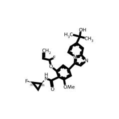 C=CC(F)Oc1cc(-c2cnc3cc(C(C)(C)O)ccn23)cc(OC)c1C(=O)N[C@@H]1C[C@@H]1F